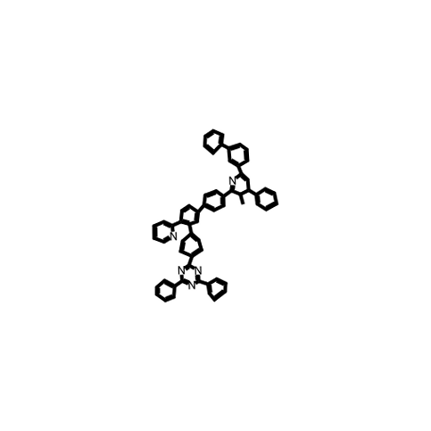 CC1C(c2ccc(-c3ccc(-c4ccccn4)c(-c4ccc(-c5nc(-c6ccccc6)nc(-c6ccccc6)n5)cc4)c3)cc2)=NC(c2cccc(-c3ccccc3)c2)=CC1c1ccccc1